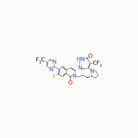 O=C1NCN=CC(N2CCC[C@H]2CCCn2ccc3cc(-c4ncc(C(F)(F)F)cn4)c(F)cc3c2=O)=C1C(F)(F)F